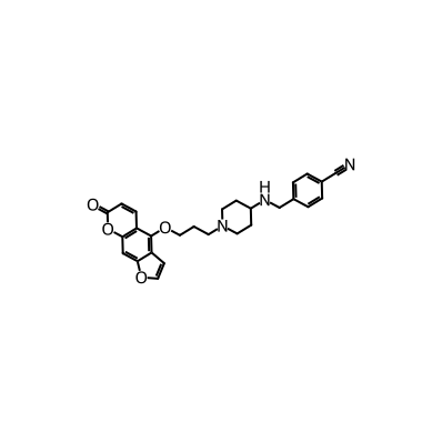 N#Cc1ccc(CNC2CCN(CCCOc3c4ccoc4cc4oc(=O)ccc34)CC2)cc1